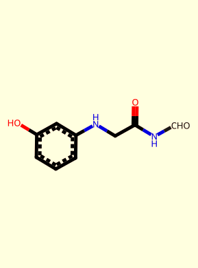 O=CNC(=O)CNc1cccc(O)c1